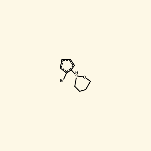 Brc1ccccc1[SiH]1CCCCO1